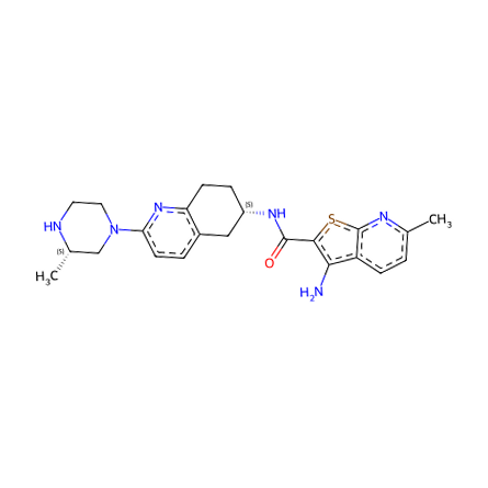 Cc1ccc2c(N)c(C(=O)N[C@H]3CCc4nc(N5CCN[C@@H](C)C5)ccc4C3)sc2n1